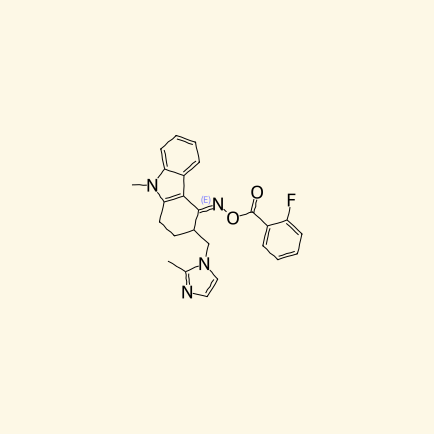 Cc1nccn1CC1CCc2c(c3ccccc3n2C)/C1=N/OC(=O)c1ccccc1F